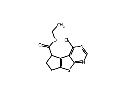 CCOC(=O)C1CCc2sc3ncnc(Cl)c3c21